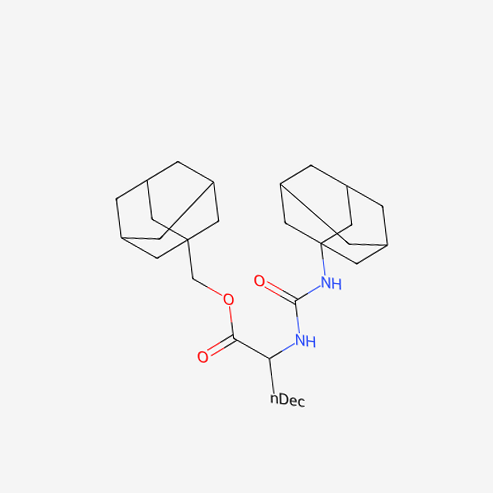 CCCCCCCCCCC(NC(=O)NC12CC3CC(CC(C3)C1)C2)C(=O)OCC12CC3CC(CC(C3)C1)C2